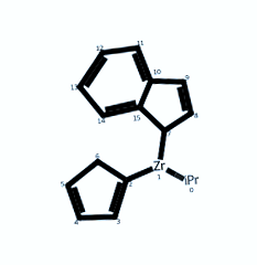 C[CH](C)[Zr]([C]1=CC=CC1)[CH]1C=Cc2ccccc21